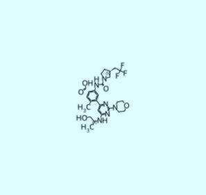 Cc1ccc(NC(=O)N2CC[C@@H](CC(F)(F)F)C2)cc1-c1cc(N[C@H](C)CO)nc(N2CCOCC2)n1.O=CO